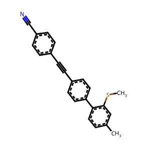 CSc1cc(C)ccc1-c1ccc(C#Cc2ccc(C#N)cc2)cc1